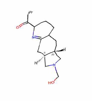 CC(C)C(=O)C1CCC2C[C@@H]3CN(CO)C[C@H]3CC2=N1